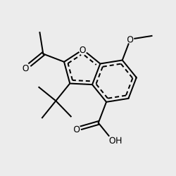 COc1ccc(C(=O)O)c2c(C(C)(C)C)c(C(C)=O)oc12